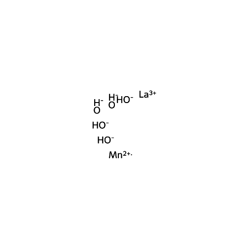 [La+3].[Mn+2].[OH-].[OH-].[OH-].[OH-].[OH-]